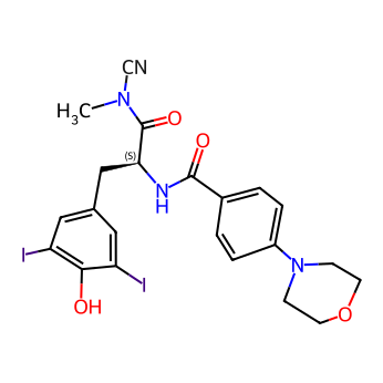 CN(C#N)C(=O)[C@H](Cc1cc(I)c(O)c(I)c1)NC(=O)c1ccc(N2CCOCC2)cc1